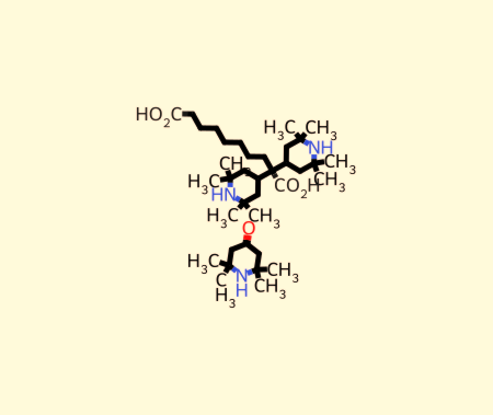 CC1(C)CC(=O)CC(C)(C)N1.CC1(C)CC(C(CCCCCCCC(=O)O)(C(=O)O)C2CC(C)(C)NC(C)(C)C2)CC(C)(C)N1